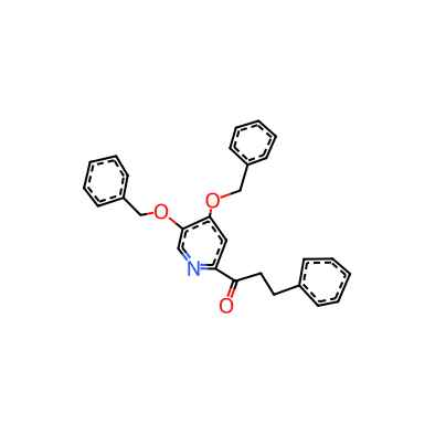 O=C(CCc1ccccc1)c1cc(OCc2ccccc2)c(OCc2ccccc2)cn1